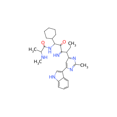 CCC(C(=N)C(=O)C(NC(=O)C(C)NC)C1CCCCC1)c1cc(-c2c[nH]c3ccccc23)nc(C)n1